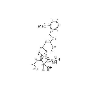 COc1ccccc1COC1CCN(S(=O)(=O)C2CCOCC2(O)C(=O)NO)CC1